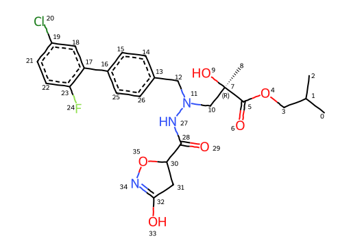 CC(C)COC(=O)[C@](C)(O)CN(Cc1ccc(-c2cc(Cl)ccc2F)cc1)NC(=O)C1CC(O)=NO1